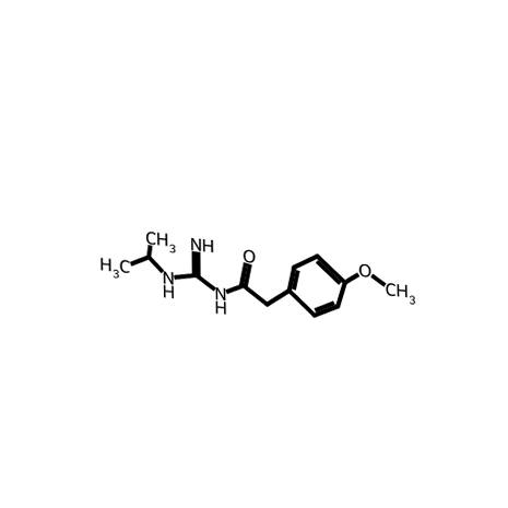 COc1ccc(CC(=O)NC(=N)NC(C)C)cc1